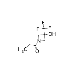 CCC(=O)N1CC(O)(C(F)(F)F)C1